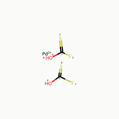 OC(=S)[S-].OC(=S)[S-].[Pd+2]